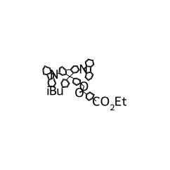 CCOC(=O)c1ccc(C(=O)Oc2ccc(C3(c4ccc(C(C)CC)cc4)c4cc(-n5c6ccccc6c6ccccc65)ccc4-c4ccc(-n5c6ccccc6c6ccccc65)cc43)cc2)cc1